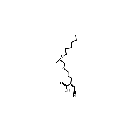 CCCCCCOC(C)COCCCC(=CC#N)C(=O)O